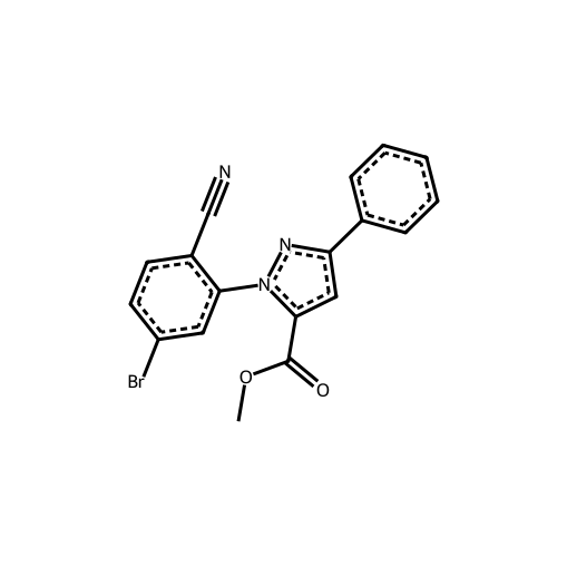 COC(=O)c1cc(-c2ccccc2)nn1-c1cc(Br)ccc1C#N